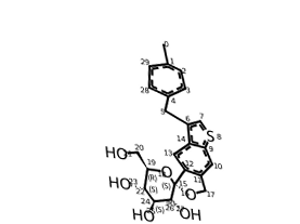 Cc1ccc(Cc2csc3cc4c(cc23)[C@]2(OC4)O[C@H](CO)[C@@H](O)[C@H](O)[C@H]2O)cc1